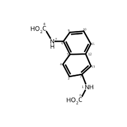 O=C(O)Nc1ccc2c(NC(=O)O)cccc2c1